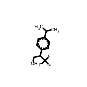 CC(C)c1ccc(C(CO)C(F)(F)F)cc1